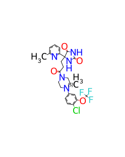 Cc1cccc(C2(CCC(=O)N3CCN(c4ccc(Cl)c(OC(F)(F)F)c4)[C@@H](C)C3)NC(=O)NC2=O)n1